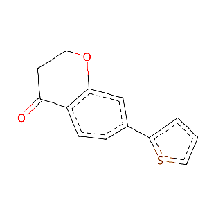 O=C1CCOc2cc(-c3cccs3)ccc21